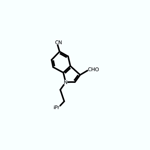 CC(C)CCn1cc(C=O)c2cc(C#N)ccc21